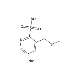 CSCc1cccnc1S([NH-])(=O)=O.[Na+]